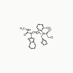 CNC(=O)N(C)c1nc2ccccc2s1.Cc1cccc(C)c1N(Cn1cccn1)C(=O)CCl